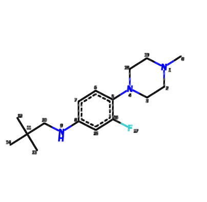 CN1CCN(c2ccc(NCC(C)(C)C)cc2F)CC1